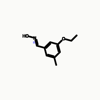 CCOc1cc(C)cc(/C=N/O)c1